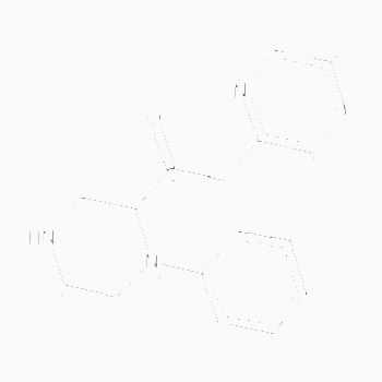 O=C(Cc1ccccn1)C1CNCCN1c1ccccc1